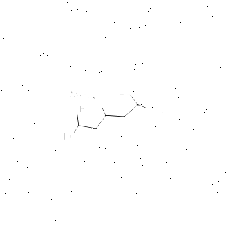 CCCCC(CC)C[C](CC(CC)CCCC)OOC